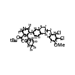 COc1ccc(CN2CCc3cc(-c4c(C)nc(C)c(C(OC(C)(C)C)C(=O)O)c4N4CCC(C)(C)CC4)ccc3C2)c(Cl)c1Cl